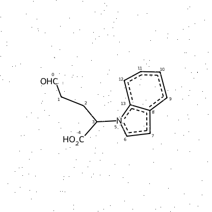 O=CCCC(C(=O)O)n1ccc2ccccc21